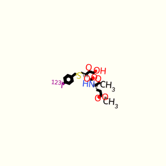 COC(=O)CC[C@H](NC(=O)O[C@@H](CSCc1ccc([123I])cc1)C(=O)CO)C(C)=O